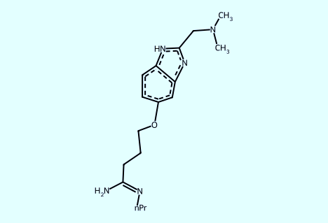 CCCN=C(N)CCCOc1ccc2[nH]c(CN(C)C)nc2c1